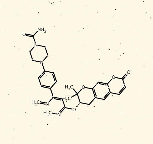 C=N/C(=C\C(=N/C)O[C@H]1Cc2cc3ccc(=O)oc3cc2OC1(C)C)c1ccc(N2CCN(C(N)=O)CC2)cc1